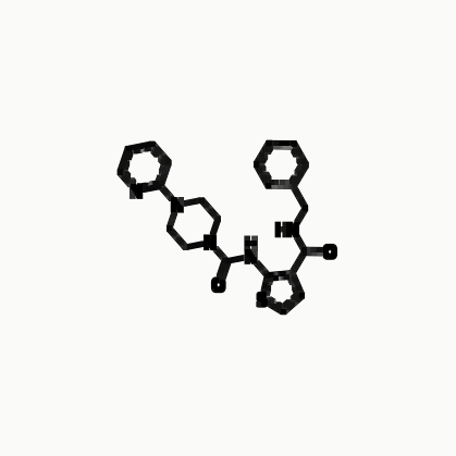 O=C(NCc1ccccc1)c1ccsc1NC(=O)N1CCN(c2ccccn2)CC1